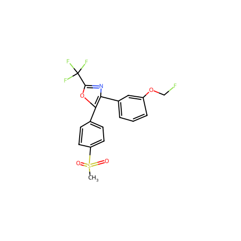 CS(=O)(=O)c1ccc(-c2oc(C(F)(F)F)nc2-c2cccc(OCF)c2)cc1